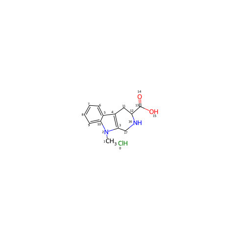 Cl.Cn1c2c(c3ccccc31)CC(C(=O)O)NC2